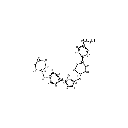 CCOC(=O)c1cnc(N2CCN(Cc3ccc(-c4ccc(CN5CCOCC5)cc4)o3)CC2)nc1